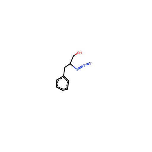 [N-]=[N+]=NC(CO)Cc1ccccc1